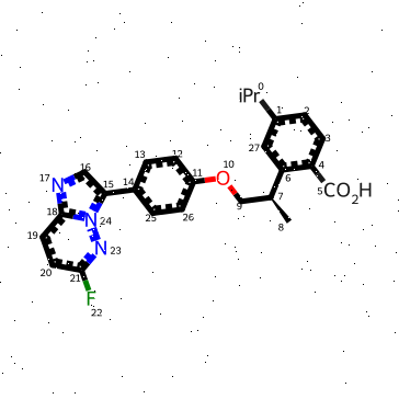 CC(C)c1ccc(C(=O)O)c([C@@H](C)COc2ccc(-c3cnc4ccc(F)nn34)cc2)c1